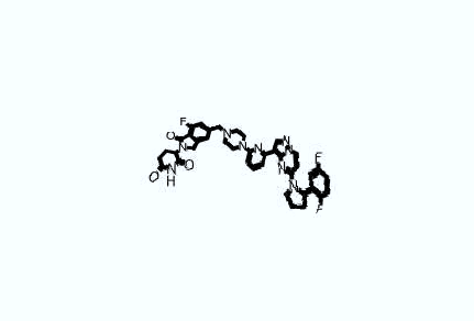 O=C1CCC(N2Cc3cc(CN4CCN(c5cccc(-c6cnn7ccc(N8CCCC8c8cc(F)ccc8F)nc67)n5)CC4)cc(F)c3C2=O)C(=O)N1